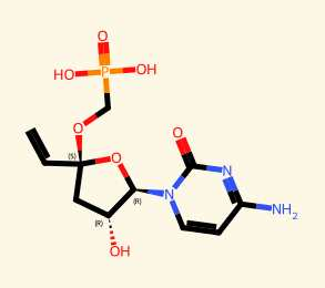 C=C[C@@]1(OCP(=O)(O)O)C[C@@H](O)[C@H](n2ccc(N)nc2=O)O1